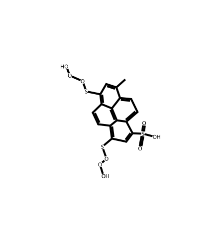 Cc1cc(SOOO)c2ccc3c(SOOO)cc(S(=O)(=O)O)c4ccc1c2c34